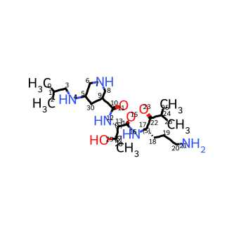 CC(C)CNC1CNCC(C(=O)N[C@H](C(=O)N[C@@H](CCCN)C(=O)C(C)C)[C@H](C)O)C1